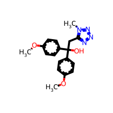 COc1ccc(C(O)(Cc2nnnn2C)c2ccc(OC)cc2)cc1